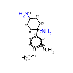 CCc1ccc(C2(N)CCC(N)CC2)cc1C